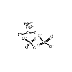 O=S(=O)([O-])[O-].O=S(=O)([O-])[O-].[Cl][Co][Cl].[Fe+2].[Fe+2]